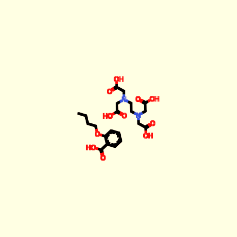 CCCCOc1ccccc1C(=O)O.O=C(O)CN(CCN(CC(=O)O)CC(=O)O)CC(=O)O